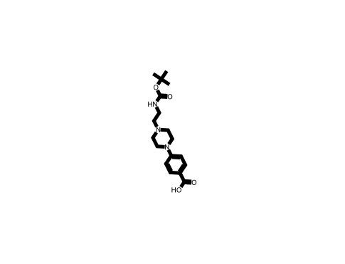 CC(C)(C)OC(=O)NCCN1CCN(c2ccc(C(=O)O)cc2)CC1